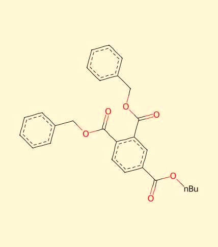 CCCCOC(=O)c1ccc(C(=O)OCc2ccccc2)c(C(=O)OCc2ccccc2)c1